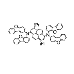 CC(C)c1cc(N(c2ccc3oc4ccccc4c3c2)c2cccc3c2oc2ccccc23)c2ccc3c(C(C)C)cc(N(c4ccc5oc6ccccc6c5c4)c4cccc5c4oc4ccccc45)c4ccc1c2c34